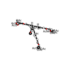 CC(=O)N[C@H]1[C@H](OCCOCCOCCOCC(=O)NCCCC[C@H](NC(=O)COCCOCCOCCO[C@H]2CC[C@@H](OC(C)=O)[C@@H](OC(C)=O)[C@@H](COC(C)=O)O2)C(=O)N[C@@H](CCCCNC(=O)COCCOCCOCCO[C@H]2C[C@@H](OC(C)=O)[C@@H](OC(C)=O)[C@@H](COC(C)=O)O2)C(=O)OCc2ccccc2)O[C@H](COC(C)=O)[C@H](OC(C)=O)[C@@H]1OC(C)=O